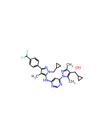 Cc1nn(-c2cc(Nc3c(C)c(-c4ccc(C(F)F)cc4)nn3CC3CC3)ncn2)c(C)c1[C@H](O)C1CC1